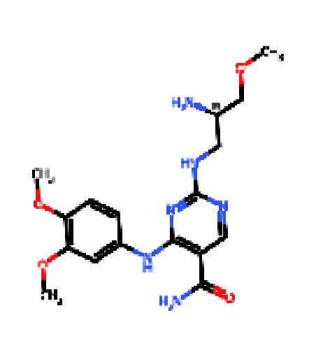 COC[C@H](N)CNc1ncc(C(N)=O)c(Nc2ccc(OC)c(OC)c2)n1